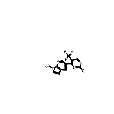 Cn1ccc2cc(-c3nc(Cl)ncc3C(F)(F)F)cnc21